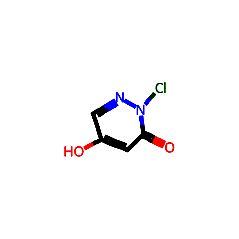 O=c1cc(O)cnn1Cl